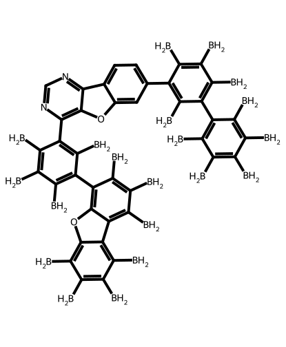 Bc1c(B)c(B)c(-c2c(B)c(B)c(B)c(-c3ccc4c(c3)oc3c(-c5c(B)c(B)c(B)c(-c6c(B)c(B)c(B)c7c6oc6c(B)c(B)c(B)c(B)c67)c5B)ncnc34)c2B)c(B)c1B